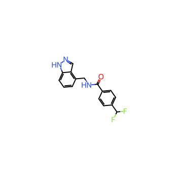 O=C(NCc1cccc2[nH]ncc12)c1ccc(C(F)F)cc1